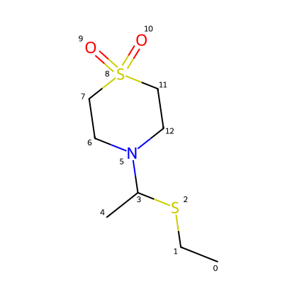 CCSC(C)N1CCS(=O)(=O)CC1